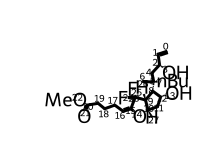 C=C[C@H](O)C[C@](C)(CCCC)[C@H]1[C@@H]2[C@H](C[C@H]1O)OC(=CCCCC(=O)OC)C2(F)F